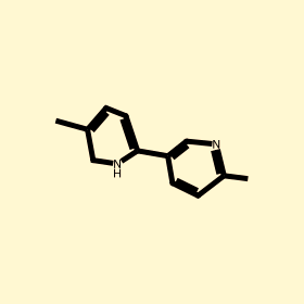 CC1=CC=C(c2ccc(C)nc2)NC1